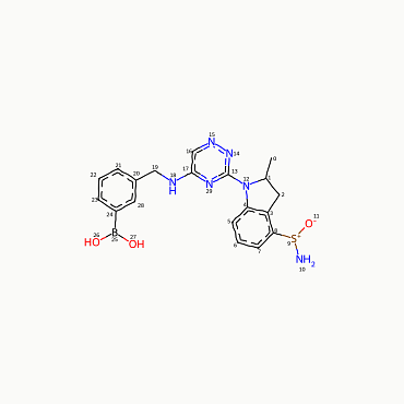 CC1Cc2c(cccc2[S+](N)[O-])N1c1nncc(NCc2cccc(B(O)O)c2)n1